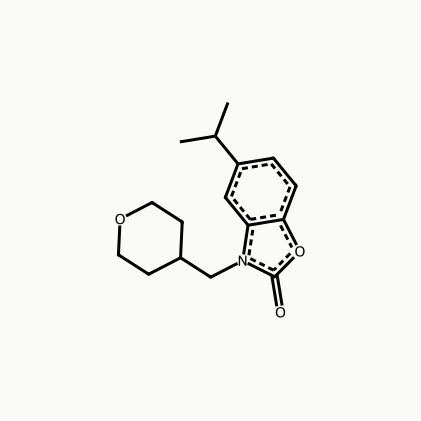 CC(C)c1ccc2oc(=O)n(CC3CCOCC3)c2c1